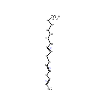 CC/C=C/C/C=C/CC/C=C/CCCCCCC(=O)O